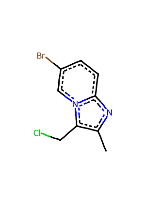 Cc1nc2ccc(Br)cn2c1CCl